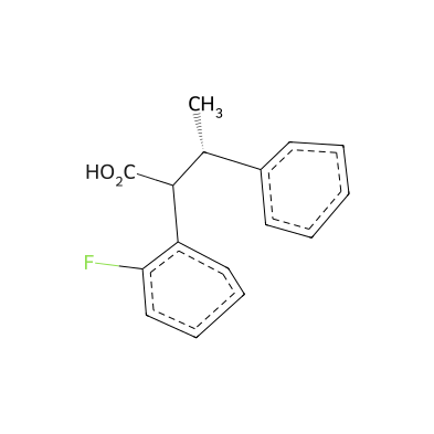 C[C@H](c1ccccc1)C(C(=O)O)c1ccccc1F